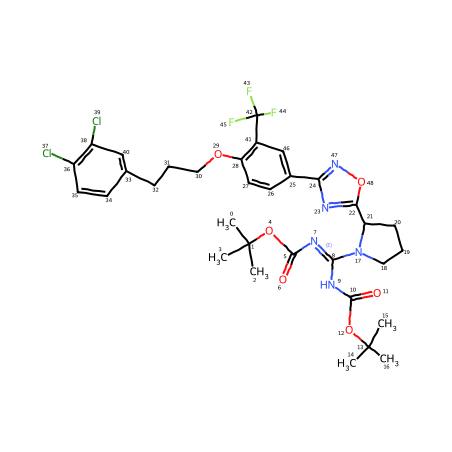 CC(C)(C)OC(=O)/N=C(\NC(=O)OC(C)(C)C)N1CCCC1c1nc(-c2ccc(OCCCc3ccc(Cl)c(Cl)c3)c(C(F)(F)F)c2)no1